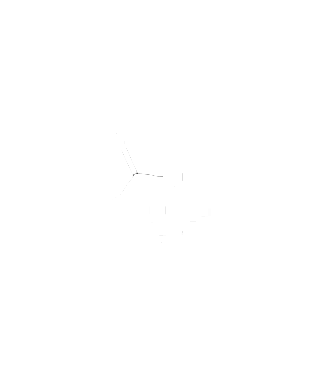 CC(=O)O.[LiH].[LiH].[LiH].[LiH]